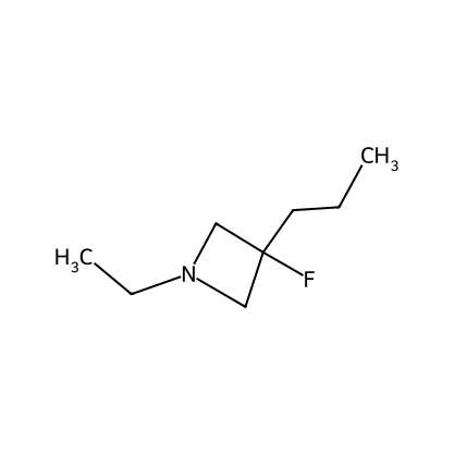 CCCC1(F)CN(CC)C1